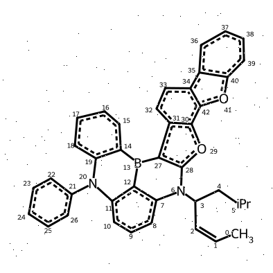 C/C=C\C(CC(C)C)N1c2cccc3c2B(c2ccccc2N3c2ccccc2)c2c1oc1c2ccc2c3ccccc3oc21